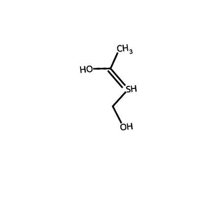 CC(O)=[SH]CO